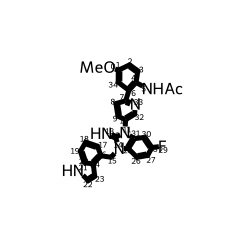 COc1ccc(NC(C)=O)c(-c2ccc(-n3c(=N)n(Cc4cccc5[nH]ccc45)c4ccc(F)cc43)cn2)c1